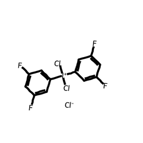 Fc1cc(F)cc([I+](Cl)(Cl)c2cc(F)cc(F)c2)c1.[Cl-]